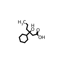 CCCC(O)(CC(=O)O)C1CCCCC1